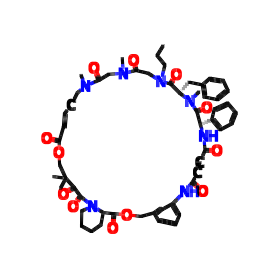 CCCN1CC(=O)N(C)CC(=O)N(C)CC/C=C/C(=O)OCC(C)(C)C(=O)C(=O)N2CCCCC2C(=O)OCc2cccc(c2)NC(=O)CCC(=O)N[C@@H](c2ccccc2)C(=O)N(C)[C@@H](Cc2ccccc2)C1=O